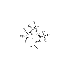 CN(C)C=CC(=O)C(F)(F)F.O=C(OC(=O)C(F)(F)F)C(F)(F)F